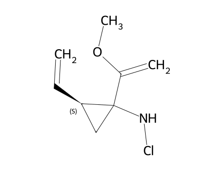 C=C[C@@H]1CC1(NCl)C(=C)OC